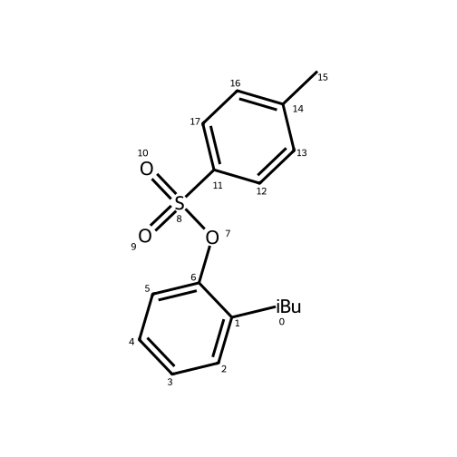 CCC(C)c1ccccc1OS(=O)(=O)c1ccc(C)cc1